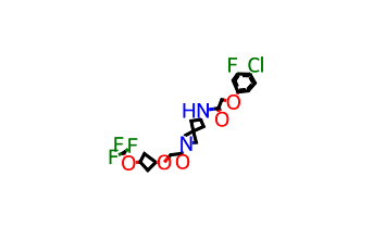 O=C(COc1ccc(Cl)c(F)c1)NC1CC2(C1)CN(C(=O)COC1CC(OC(F)(F)F)C1)C2